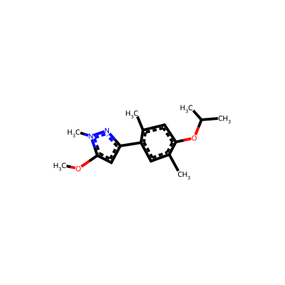 COc1cc(-c2cc(C)c(OC(C)C)cc2C)nn1C